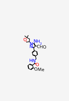 COc1ccccc1C(=O)NCc1ccc(-c2nn(C3COC(C)(C)C3)c(N)c2C=O)cc1